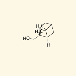 CC1(C)C2CC=C(CO)[C@@H]1C2